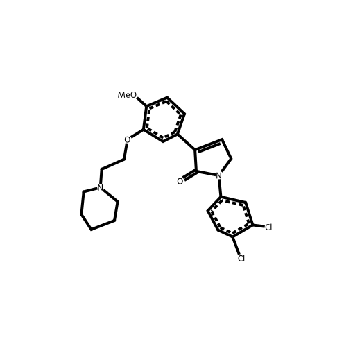 COc1ccc(C2=CCN(c3ccc(Cl)c(Cl)c3)C2=O)cc1OCCN1CCCCC1